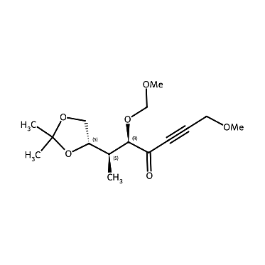 COCC#CC(=O)[C@H](OCOC)[C@@H](C)[C@H]1COC(C)(C)O1